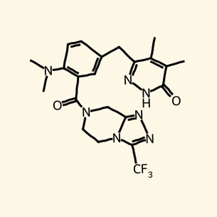 Cc1c(Cc2ccc(N(C)C)c(C(=O)N3CCn4c(nnc4C(F)(F)F)C3)c2)n[nH]c(=O)c1C